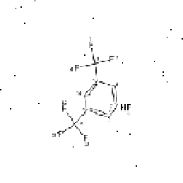 F.FC(F)(F)c1cccc(C(F)(F)F)c1